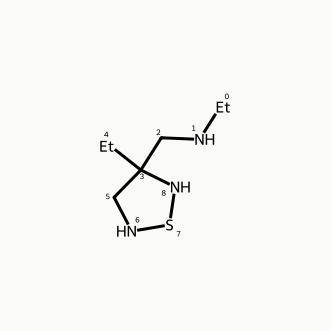 CCNCC1(CC)CNSN1